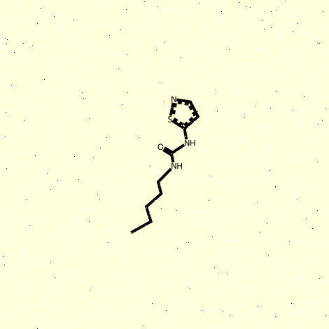 CCCCCNC(=O)Nc1ccns1